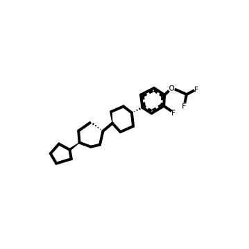 Fc1cc([C@H]2CC[C@H]([C@H]3CC[C@H](C4CCCC4)CC3)CC2)ccc1OC(F)F